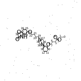 CCOC(=O)CCCOc1ccccc1N1CCN(CCCCOc2ccc3c(c2)NC(=O)CO3)CC1